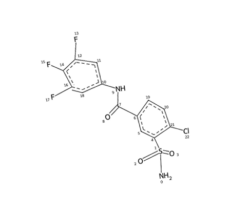 NS(=O)(=O)c1cc(C(=O)Nc2cc(F)c(F)c(F)c2)ccc1Cl